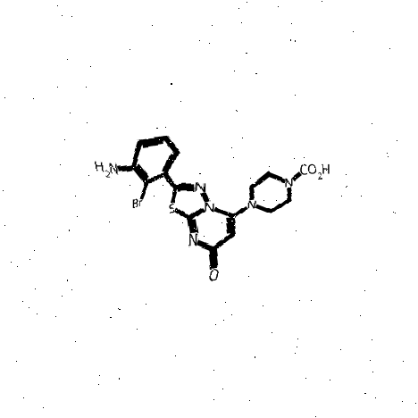 Nc1cccc(-c2nn3c(N4CCN(C(=O)O)CC4)cc(=O)nc3s2)c1Br